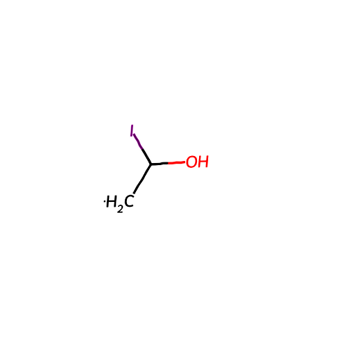 [CH2]C(O)I